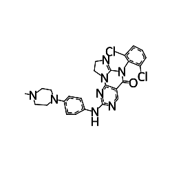 CN1CCN(c2ccc(Nc3ncc4c(n3)N3CCN=C3N(c3c(Cl)cccc3Cl)C4=O)cc2)CC1